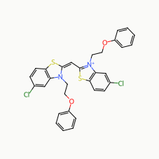 Clc1ccc2c(c1)N(CCOc1ccccc1)C(=Cc1sc3ccc(Cl)cc3[n+]1CCOc1ccccc1)S2